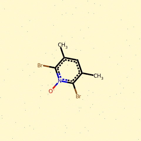 Cc1cc(C)c(Br)[n+]([O-])c1Br